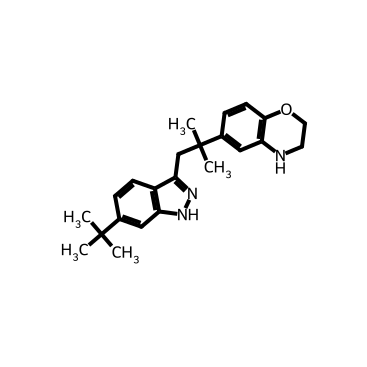 CC(C)(C)c1ccc2c(CC(C)(C)c3ccc4c(c3)NCCO4)n[nH]c2c1